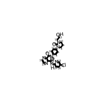 O=C(Nc1ccc(N2CCCN(CCO)C2=O)cc1)c1nccnc1C(=O)Nc1ccc(Cl)cn1